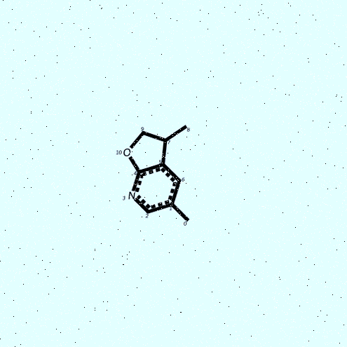 Cc1cnc2c(c1)C(C)CO2